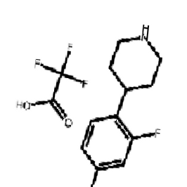 Fc1cc(Cl)ccc1C1CCNCC1.O=C(O)C(F)(F)F